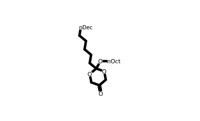 CCCCCCCCCCCCCCCC1(OCCCCCCCC)OCC(=O)CO1